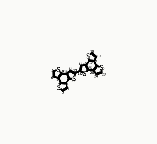 c1cc2c(s1)c1ccsc1c1cc(-c3cc4c5sccc5c5sccc5c4s3)sc21